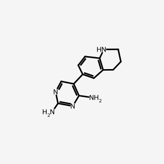 Nc1ncc(-c2ccc3c(c2)CCCN3)c(N)n1